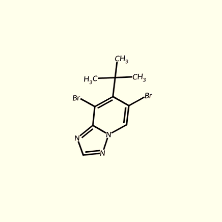 CC(C)(C)c1c(Br)cn2ncnc2c1Br